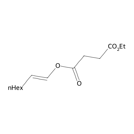 CCCCCCC=COC(=O)CCC(=O)OCC